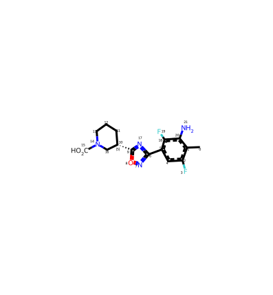 Cc1c(F)cc(-c2noc([C@H]3CCCN(C(=O)O)C3)n2)c(F)c1N